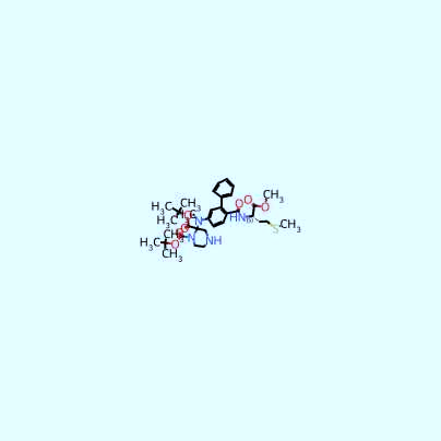 COC(=O)[C@H](CCSC)NC(=O)c1ccc(N(C)C2(C(=O)OC(C)(C)C)CNCCN2C(=O)OC(C)(C)C)cc1-c1ccccc1